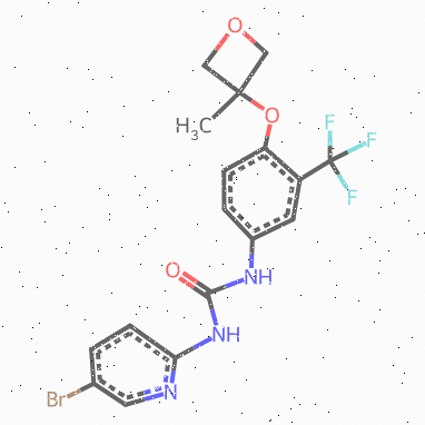 CC1(Oc2ccc(NC(=O)Nc3ccc(Br)cn3)cc2C(F)(F)F)COC1